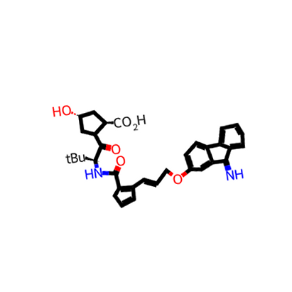 CC(C)(C)[C@H](NC(=O)C1=C(/C=C/COc2ccc3c(c2)C(=N)c2ccccc2-3)C=CC1)C(=O)C1C[C@H](O)C[C@H]1C(=O)O